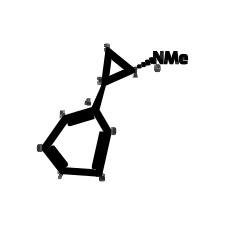 CN[C@H]1C[C@@H]1c1ccccc1